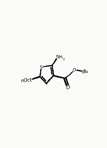 CCCCCCCCc1cc(C(=O)OC(C)(C)C)c(N)s1